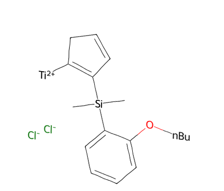 CCCCOc1ccccc1[Si](C)(C)C1=[C]([Ti+2])CC=C1.[Cl-].[Cl-]